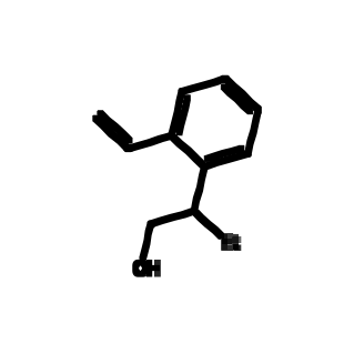 C=Cc1ccccc1C(CC)CO